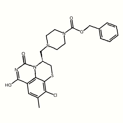 Cc1cc2c(O)nc(=O)n3c2c(c1Cl)SC[C@@H]3CN1CCN(C(=O)OCc2ccccc2)CC1